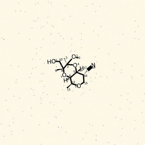 CO[C@@]1(C)O[C@H]2[C@H](O[C@]1(C)CO)[C@H](C)OC[C@H]2C#N